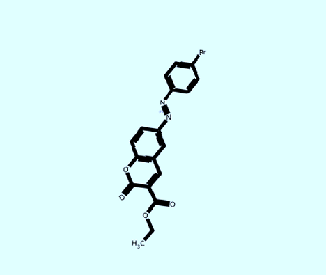 CCOC(=O)c1cc2cc(/N=N/c3ccc(Br)cc3)ccc2oc1=O